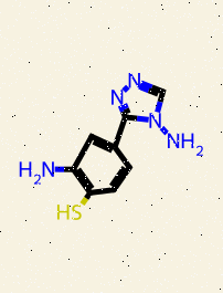 Nc1cc(-c2nncn2N)ccc1S